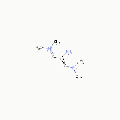 CN(C)/C=C(\N)C=[N+](C)C